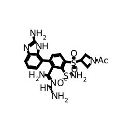 CC(=O)N1CC(S(=O)(=O)c2ccc(-c3cccc4nc(N)[nH]c34)c(/C(N)=N/NN)c2[S+](N)[O-])C1